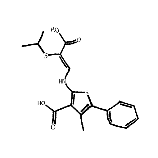 Cc1c(-c2ccccc2)sc(NC=C(SC(C)C)C(=O)O)c1C(=O)O